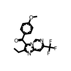 CCc1nc2cc(C(F)(F)F)ncn2c1C(=O)c1ccc(OC)cc1